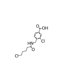 O=C(CCCCCl)NCc1ccc(C(=O)O)cc1Cl